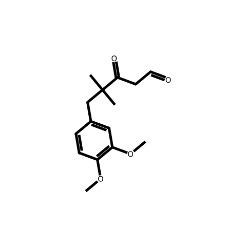 COc1ccc(CC(C)(C)C(=O)CC=O)cc1OC